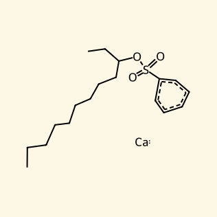 CCCCCCCCCC(CC)OS(=O)(=O)c1ccccc1.[Ca]